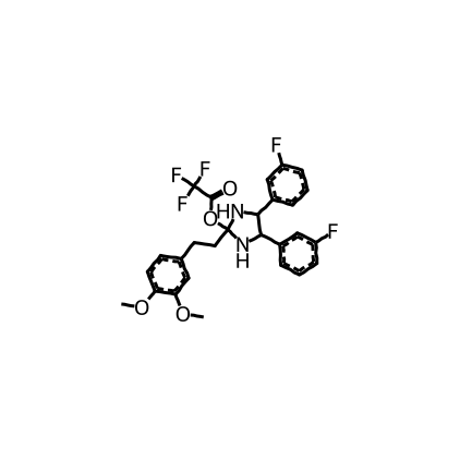 COc1ccc(CCC2(OC(=O)C(F)(F)F)NC(c3cccc(F)c3)C(c3cccc(F)c3)N2)cc1OC